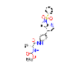 CC(C)[C@@H](NC(=O)OC(C)(C)C)C(=O)Nc1ccc(-c2ccnc3c2ccn3S(=O)(=O)c2ccccc2)cc1